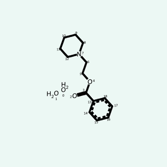 O.O.O=C(OCCN1CCCCC1)c1ccccc1